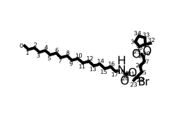 CCCCCCCCCCCCCCCCCCNC(=O)OC(C)(Br)CCCC(=O)OC1(C)CCCC1